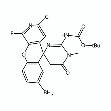 Bc1ccc2c(c1)C1(CC(=O)N(C)C(NC(=O)OC(C)(C)C)=N1)c1cc(Cl)nc(F)c1O2